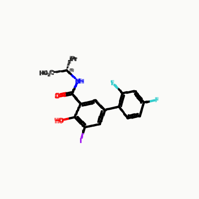 CC(C)[C@H](NC(=O)c1cc(-c2ccc(F)cc2F)cc(I)c1O)C(=O)O